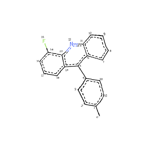 Cc1ccc(-c2c3ccccc3nc3c(F)cccc23)cc1